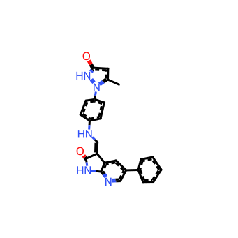 Cc1cc(=O)[nH]n1-c1ccc(N/C=C2\C(=O)Nc3ncc(-c4ccccc4)cc32)cc1